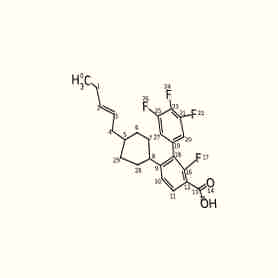 CCC=CCC1CCC(c2ccc(C(=O)O)c(F)c2-c2cc(F)c(F)c(F)c2)CC1